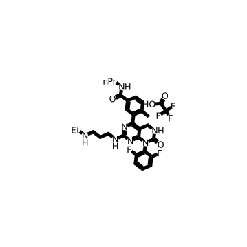 CCCNC(=O)c1ccc(C)c(-c2nc(NCCCNCC)nc3c2CNC(=O)N3c2c(F)cccc2F)c1.O=C(O)C(F)(F)F